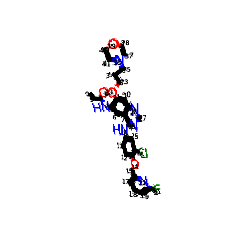 C=CC(=O)Nc1cc2c(Nc3ccc(OCc4cccc(F)n4)c(Cl)c3)ncnc2cc1OCCCN1CCOCC1